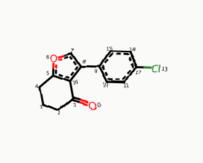 O=C1CCCc2occ(-c3ccc(Cl)cc3)c21